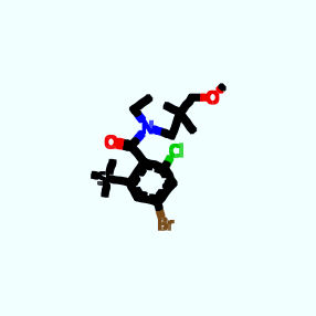 CCN(CC(C)(C)COC)C(=O)c1c(Cl)cc(Br)cc1[Si](C)(C)C